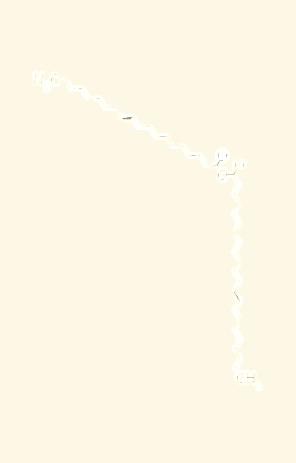 CCCCCCCCC=CCCCCCCCCCCCC(=O)OC(=O)CCCCCCCCCC=CCCCCCCCC